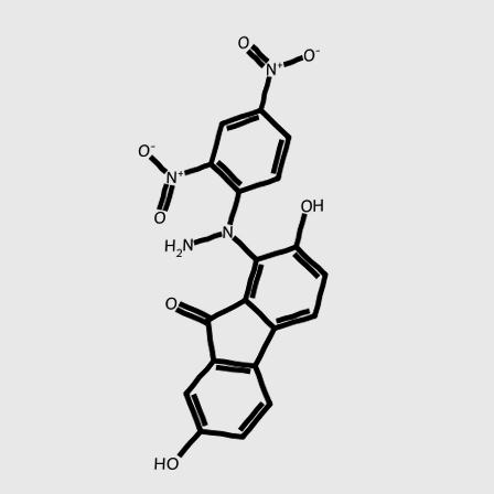 NN(c1ccc([N+](=O)[O-])cc1[N+](=O)[O-])c1c(O)ccc2c1C(=O)c1cc(O)ccc1-2